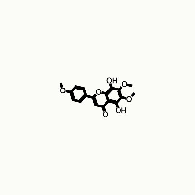 COc1ccc(-c2cc(=O)c3c(O)c(OC)c(OC)c(O)c3o2)cc1